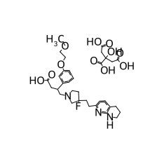 COCCOc1cccc(C(CC(=O)O)CN2CCC(F)(CCc3ccc4c(n3)NCCC4)C2)c1.O=C(O)CC(O)(CC(=O)O)C(=O)O